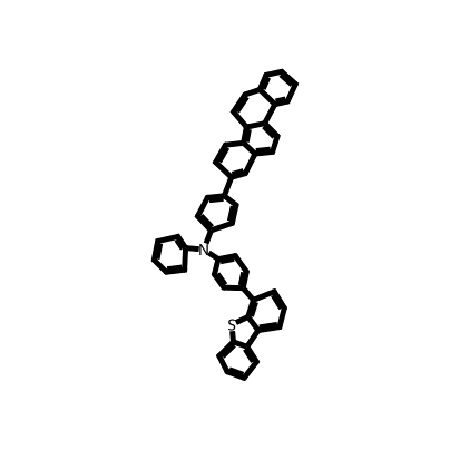 c1ccc(N(c2ccc(-c3ccc4c(ccc5c6ccccc6ccc45)c3)cc2)c2ccc(-c3cccc4c3sc3ccccc34)cc2)cc1